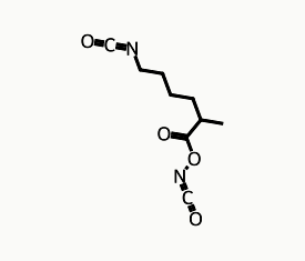 CC(CCCCN=C=O)C(=O)ON=C=O